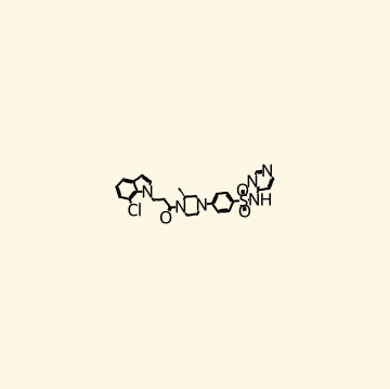 C[C@H]1CN(c2ccc(S(=O)(=O)Nc3ccncn3)cc2)CCN1C(=O)CCn1ccc2cccc(Cl)c21